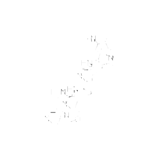 CC(=O)N(c1ccnc(C)c1)c1ccc(NC(=O)c2ccc(Nc3ccnc4ccc(N(C)C)cc34)cn2)c(N)n1